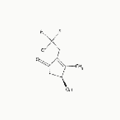 CC1=C(CC(F)(F)Cl)C(=O)C[C@@H]1O